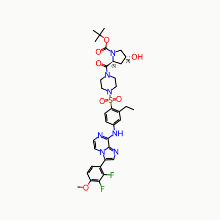 CCc1cc(Nc2nccn3c(-c4ccc(OC)c(F)c4F)cnc23)ccc1S(=O)(=O)N1CCN(C(=O)[C@@H]2C[C@@H](O)CN2C(=O)OC(C)(C)C)CC1